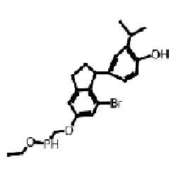 CCOPCOc1cc(Br)c2c(c1)CCC2c1ccc(O)c(C(C)C)c1